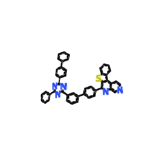 c1ccc(-c2ccc(-c3nc(-c4ccccc4)nc(-c4cccc(-c5ccc(-c6nc7cnccc7c7c6sc6ccccc67)cc5)c4)n3)cc2)cc1